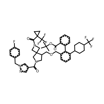 CC(C)(C)OC(=O)c1ccccc1-c1c(COCC2CN(C(=O)c3cnn(Cc4ccc(F)cc4)c3)CC23CN(C(=O)C2(C(F)(F)F)CC2)C3)cccc1C1CCC(C(F)(F)F)CC1